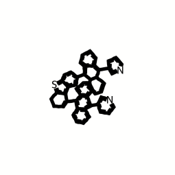 C1=CC2C(c3cccnc3)=c3ccccc3=C(c3ccc4sc5c(c4c3)C(c3c4ccccc4c(-c4cccnc4)c4ccccc34)=CCC5)C2C=C1